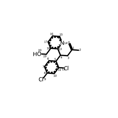 C=C(C)CC(c1ccc(Cl)cc1Cl)c1ncccc1CO